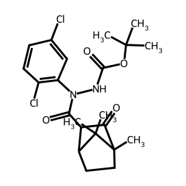 CC(C)(C)OC(=O)NN(C(=O)C1C(=O)C2(C)CCC1C2(C)C)c1cc(Cl)ccc1Cl